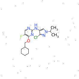 CC(C)n1cc(Nc2ncc(F)c(OCC3CCCCC3)n2)c(Cl)n1